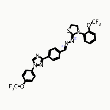 FC(F)(F)Oc1ccc(-n2cnc(-c3ccc(/C=N/N=C4\SCCN4c4ccccc4OC(F)(F)F)cc3)n2)cc1